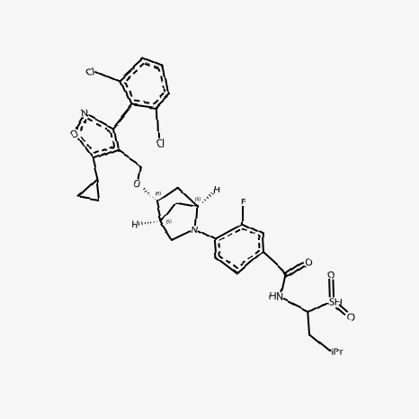 CC(C)CC(NC(=O)c1ccc(N2C[C@@H]3C[C@H]2C[C@H]3OCc2c(-c3c(Cl)cccc3Cl)noc2C2CC2)c(F)c1)[SH](=O)=O